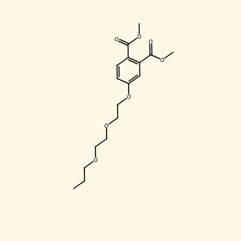 CCCOCCOCCOc1ccc(C(=O)OC)c(C(=O)OC)c1